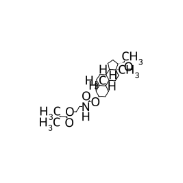 CC(=O)[C@H]1CC[C@H]2[C@@H]3CC[C@H]4C[C@H](OC(=O)NCCOC(=O)C(C)C)CC[C@]4(C)[C@H]3CC[C@]12C